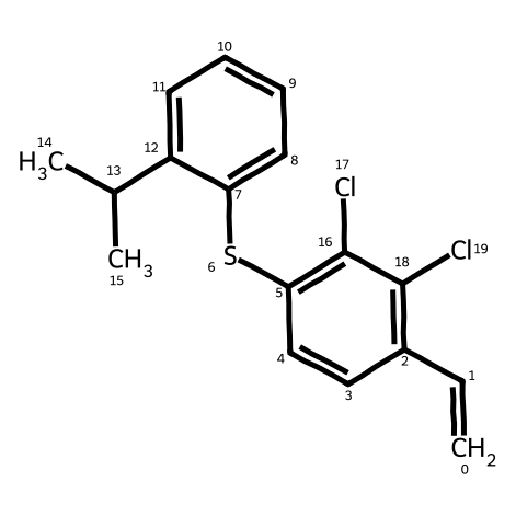 C=Cc1ccc(Sc2ccccc2C(C)C)c(Cl)c1Cl